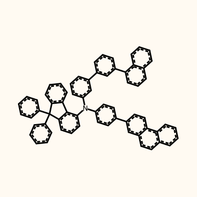 c1ccc(C2(c3ccccc3)c3ccccc3-c3c(N(c4ccc(-c5ccc6c(ccc7ccccc76)c5)cc4)c4cccc(-c5cccc(-c6cccc7ccccc67)c5)c4)cccc32)cc1